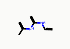 C=CNC(=C)NC(=C)C